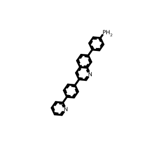 Pc1ccc(-c2ccc3cc(-c4ccc(-c5ccccn5)cc4)cnc3c2)cc1